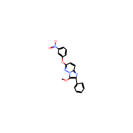 COc1c(-c2ccccc2)nc2ccc(Oc3cccc([N+](=O)[O-])c3)nn12